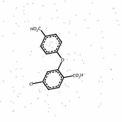 O=C(O)c1ccc(Oc2cc(Cl)ccc2C(=O)O)cc1